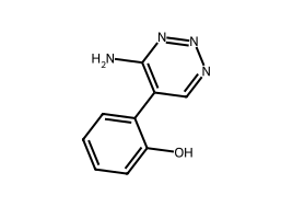 Nc1nnncc1-c1ccccc1O